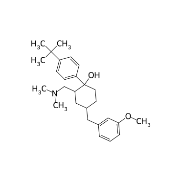 COc1cccc(CC2CCC(O)(c3ccc(C(C)(C)C)cc3)C(CN(C)C)C2)c1